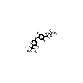 CC(C)(C)c1ncc(Oc2cc(F)c(C(=O)NS(C)(=O)=O)cc2F)cc1Cl